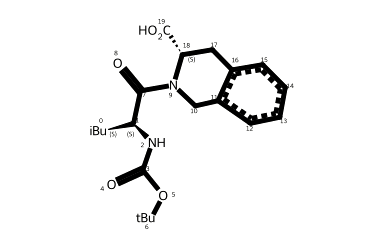 CC[C@H](C)[C@H](NC(=O)OC(C)(C)C)C(=O)N1Cc2ccccc2C[C@H]1C(=O)O